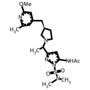 COc1cc(C[C@H]2CCN(C(C)c3cc(NC(C)=O)n(S(=O)(=O)N(C)C)n3)C2)cc(C)n1